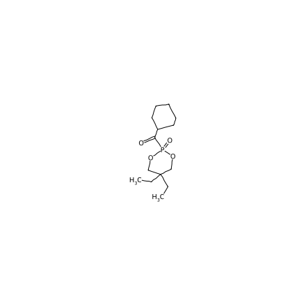 CCC1(CC)COP(=O)(C(=O)C2CCCCC2)OC1